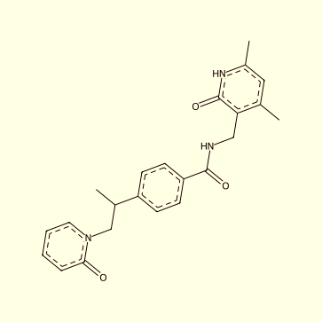 Cc1cc(C)c(CNC(=O)c2ccc(C(C)Cn3ccccc3=O)cc2)c(=O)[nH]1